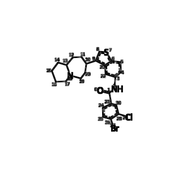 O=C(Nc1ccc2scc(C3CCC4CCCCN4CC3)c2c1)c1ccc(Br)c(Cl)c1